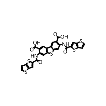 O=C(Nc1cc2sc3cc(NC(=O)c4cc5sccc5s4)c(C(=O)O)cc3c2cc1C(=O)O)c1cc2sccc2s1